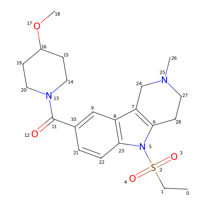 CCS(=O)(=O)n1c2c(c3cc(C(=O)N4CCC(OC)CC4)ccc31)CN(C)CC2